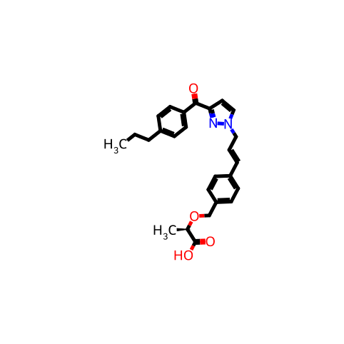 CCCc1ccc(C(=O)c2ccn(CC=Cc3ccc(CO[C@H](C)C(=O)O)cc3)n2)cc1